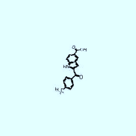 Cc1ccc(C(=O)c2cc3cc(C(=O)O)ccc3[nH]2)cc1